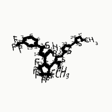 Bc1sc(-c2cccc(C(F)(F)F)c2)cc1C1=C(c2cc(-c3ccc(-c4ccc(C)s4)s3)sc2C)C(F)(F)C(F)(F)C1(F)F